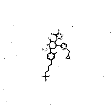 C[C@@]1(c2ccc(CCCCC(F)(F)F)cc2F)CC(c2ccn(CC3CC3)n2)=C(n2nn[nH]c2=O)C(=O)N1